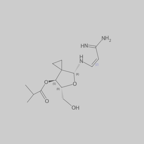 CC(C)C(=O)O[C@@H]1[C@@H](CO)O[C@@H](N/C=C\C(=N)N)C12CC2